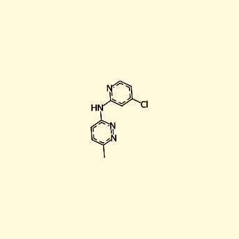 Cc1ccc(Nc2cc(Cl)ccn2)nn1